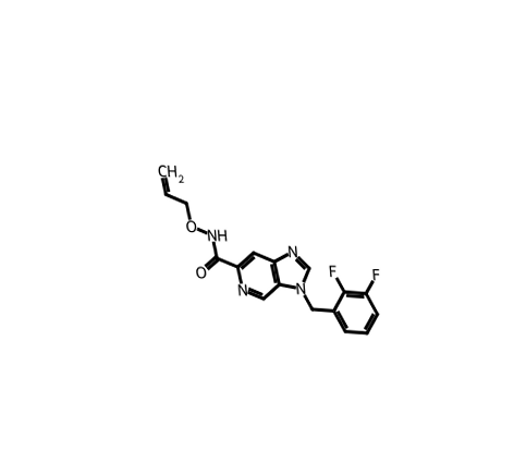 C=CCONC(=O)c1cc2ncn(Cc3cccc(F)c3F)c2cn1